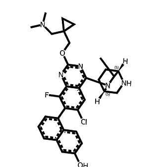 CC1[C@@H]2CC[C@@H](CN2)N1c1nc(OCC2(CN(C)C)CC2)nc2c(F)c(-c3cccc4cc(O)ccc34)c(Cl)cc12